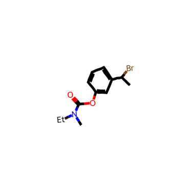 CCN(C)C(=O)Oc1cccc(C(C)Br)c1